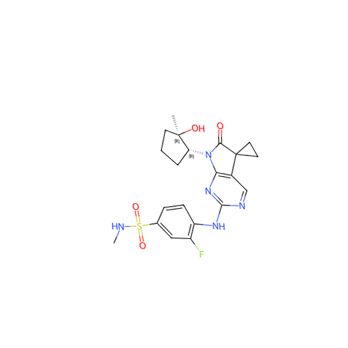 CNS(=O)(=O)c1ccc(Nc2ncc3c(n2)N([C@@H]2CCC[C@@]2(C)O)C(=O)C32CC2)c(F)c1